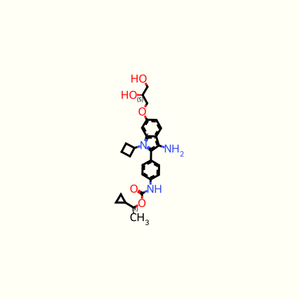 C[C@@H](OC(=O)Nc1ccc(-c2c(N)c3ccc(OC[C@@H](O)CO)cc3n2C2CCC2)cc1)C1CC1